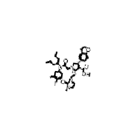 CCCC(CCC)N(C(=O)CN1C[C@H](c2ccc3c(c2)CCO3)[C@@H](C(=O)O)[C@@H]1CCN1CCN(C)C1=O)c1ccc(F)c(C)c1